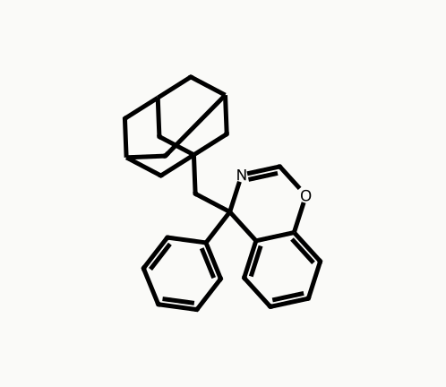 C1=NC(CC23CC4CC(CC(C4)C2)C3)(c2ccccc2)c2ccccc2O1